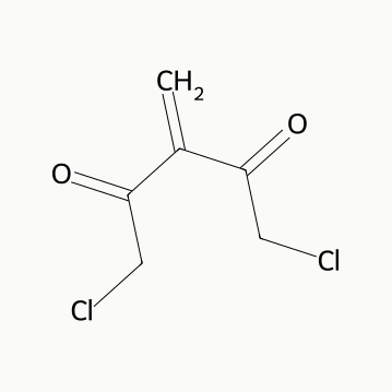 C=C(C(=O)CCl)C(=O)CCl